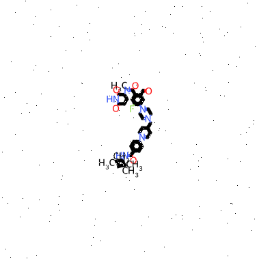 CN(C(=O)c1cc(F)c(N2CCN(CC3CCN(c4ccc(C(=O)NC5C(C)(C)CC5(C)C)cc4)CC3)CC2)cc1C=O)C1CCC(=O)NC1=O